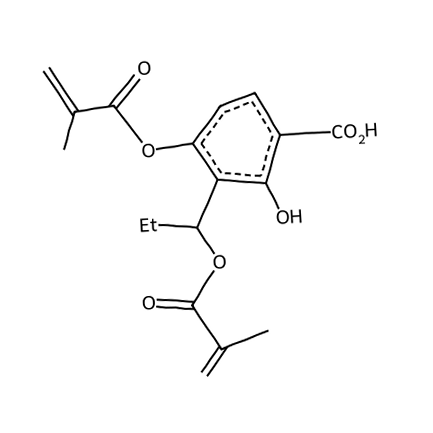 C=C(C)C(=O)Oc1ccc(C(=O)O)c(O)c1C(CC)OC(=O)C(=C)C